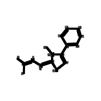 CC(C)=NN=c1scc(-c2ccccc2)n1C